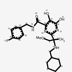 COCC(C)(NCC1CCCCC1)c1nc(O)c(O)c(C(=O)NCc2ccc(F)cc2)n1